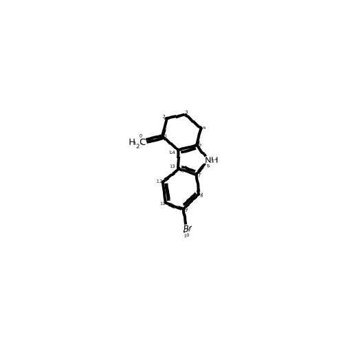 C=C1CCCc2[nH]c3cc(Br)ccc3c21